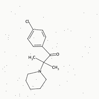 CC(C)(C(=O)c1ccc(Cl)cc1)N1CCCCC1